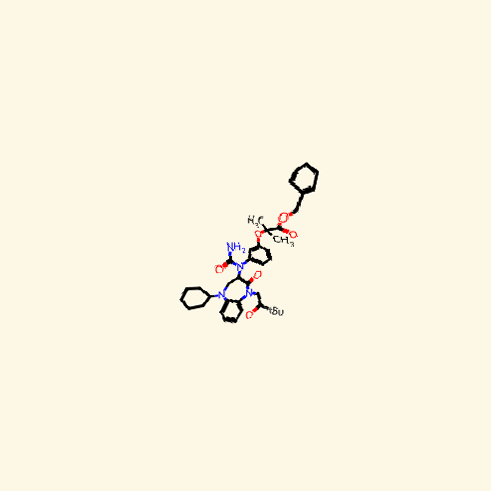 CC(C)(C)C(=O)CN1C(=O)C(N(C(N)=O)c2cccc(OC(C)(C)C(=O)OCc3ccccc3)c2)CN(C2CCCCC2)c2ccccc21